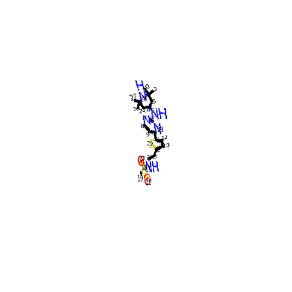 CC1(C)CC(Nc2nccc(-c3ccc(CCNS(C)(=O)=O)s3)n2)CC(C)(C)N1